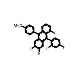 COc1ccc(-c2c3cc(F)c(F)cc3c(-c3ccc(F)cc3F)c3c(F)cccc23)cc1